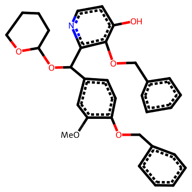 COc1cc(C(OC2CCCCO2)c2nccc(O)c2OCc2ccccc2)ccc1OCc1ccccc1